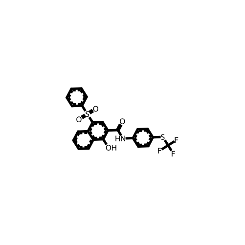 O=C(Nc1ccc(SC(F)(F)F)cc1)c1cc(S(=O)(=O)c2ccccc2)c2ccccc2c1O